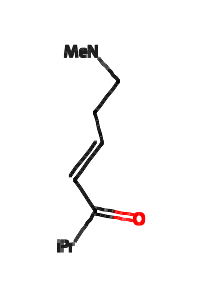 CNCC/C=C/C(=O)C(C)C